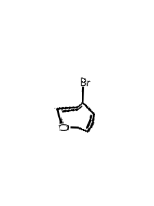 Brc1[c]occ1